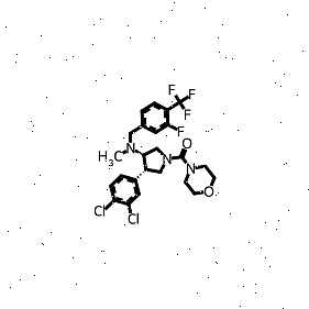 CN(Cc1ccc(C(F)(F)F)c(F)c1)[C@H]1CN(C(=O)N2CCOCC2)C[C@@H]1c1ccc(Cl)c(Cl)c1